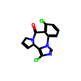 O=C1c2c(Cl)cccc2-n2cnc(Cl)c2C2C=CCN12